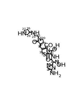 Nc1nc(C(=NO)C(=O)N[C@@H]2C(=O)N3C(C(=O)O)=C(C=C4CCN(CCNC5CCNC5)C4=O)CS[C@H]23)ns1